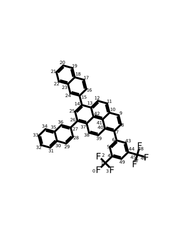 FC(F)(F)c1cc(-c2ccc3ccc4c(-c5ccc6ccccc6c5)cc(-c5ccc6ccccc6c5)c5ccc2c3c45)cc(C(F)(F)F)c1